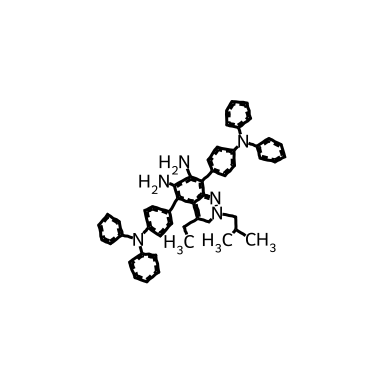 CCC1=c2c(-c3ccc(N(c4ccccc4)c4ccccc4)cc3)c(N)c(N)c(-c3ccc(N(c4ccccc4)c4ccccc4)cc3)c2=NN(CC(C)C)C1